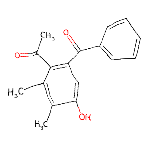 CC(=O)c1c(C(=O)c2ccccc2)cc(O)c(C)c1C